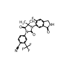 CC1(C)C(=O)N(c2ccc(C#N)c(C(F)(F)F)c2)C(=O)N1c1cc2c(cc1F)CNC2=O